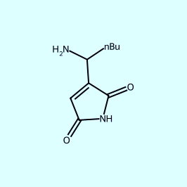 CCCCC(N)C1=CC(=O)NC1=O